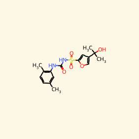 Cc1ccc(C)c(NC(=O)NS(=O)(=O)c2cc(C(C)(C)O)co2)c1